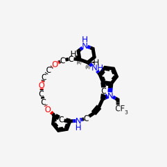 FC(F)(F)Cn1c2cc3c(cccc31)N[C@@H]1CCNC[C@H]1CCOCCOCCOc1cccc(c1)NCC#C2